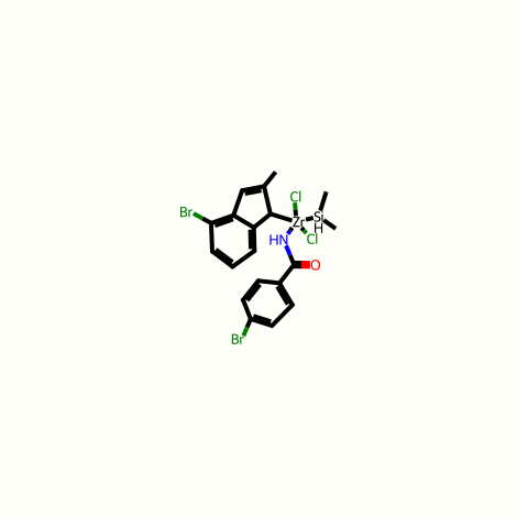 CC1=Cc2c(Br)cccc2[CH]1[Zr]([Cl])([Cl])([NH]C(=O)c1ccc(Br)cc1)[SiH](C)C